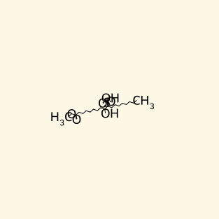 CCCCCCCCC(C(O)CCCCCCCC(=O)OC)S(=O)(=O)O